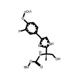 CCCCCCCCOc1ccc(-c2c[nH]c([C@](C)(CO)NC(=O)OC(C)(C)C)n2)cc1F